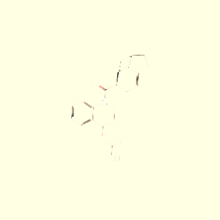 CC(C)OC1CCN(C(=O)C23CC=C4CCC(C2)C4C3)c2ccccc21